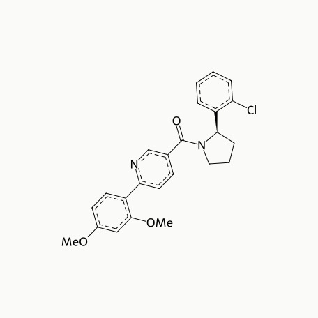 COc1ccc(-c2ccc(C(=O)N3CCC[C@@H]3c3ccccc3Cl)cn2)c(OC)c1